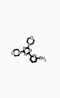 Bc1cccc(-c2nc(N3CCOCC3)nc(N3CCOCC3)n2)n1